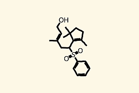 CC(=CCO)CC(C1=C(C)CCC1(C)C)S(=O)(=O)c1ccccc1